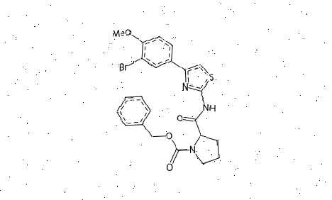 COc1ccc(-c2csc(NC(=O)C3CCCN3C(=O)OCc3ccccc3)n2)cc1Br